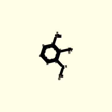 CCSc1cccc(C(C)(C)C)c1C(C)C